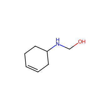 OCNC1CC=CCC1